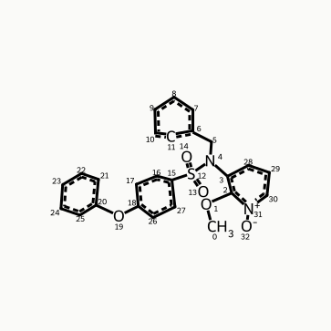 COc1c(N(Cc2ccccc2)S(=O)(=O)c2ccc(Oc3ccccc3)cc2)ccc[n+]1[O-]